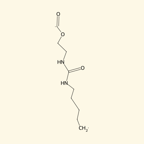 [CH2]CCCCNC(=O)NCCO[C]=O